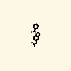 CC(=O)Cc1ccc2c(c1)CCN2C(=O)c1ccccc1